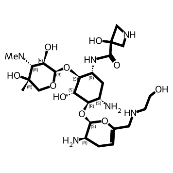 CN[C@@H]1[C@@H](O)[C@@H](O[C@@H]2[C@@H](O)[C@H](O[C@H]3OC(CNCCO)=CC[C@H]3N)[C@@H](N)C[C@H]2NC(=O)C2(O)CNC2)OC[C@]1(C)O